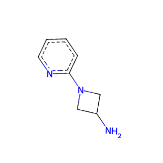 NC1CN(c2ccccn2)C1